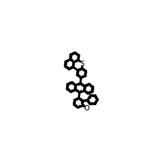 c1cc2c3c(cccc3c1)-c1cc(-c3c4ccccc4c(-c4cccc5oc6ccccc6c45)c4ccccc34)ccc1S2